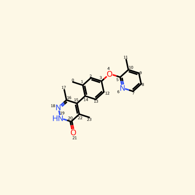 Cc1cc(Oc2ncccc2C)ccc1-c1c(C)n[nH]c(=O)c1C